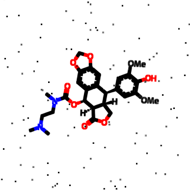 COc1cc([C@@H]2c3cc4c(cc3[C@H](OC(=O)N(C)CCN(C)C)[C@@H]3C(=O)OC[C@@H]23)OCO4)cc(OC)c1O